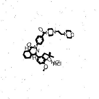 COc1ccc(C2=NN(c3ccc(C(=O)N4CCN(CCN5CCOCC5)CC4)cc3)C(=O)[C@@H]3CC=CC[C@H]23)c2c1OC(C)(C)C2.Cl.Cl